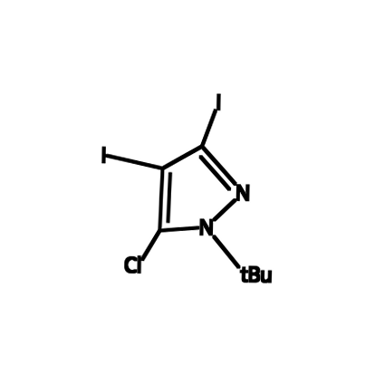 CC(C)(C)n1nc(I)c(I)c1Cl